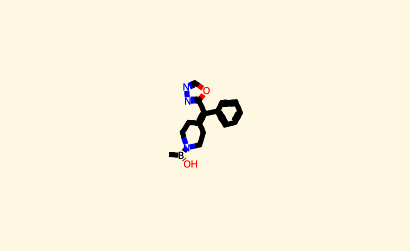 CB(O)N1CCC(=C(c2ccccc2)c2nnco2)CC1